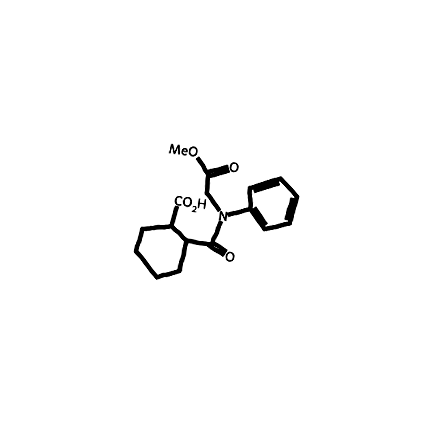 COC(=O)CN(C(=O)C1CCCCC1C(=O)O)c1ccccc1